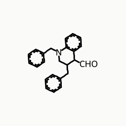 O=CC1c2ccccc2N(Cc2ccccc2)CC1Cc1ccccc1